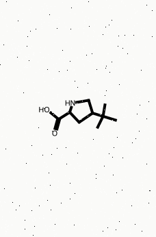 CC(C)(C)C1CNC(C(=O)O)C1